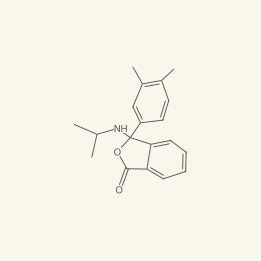 Cc1ccc(C2(NC(C)C)OC(=O)c3ccccc32)cc1C